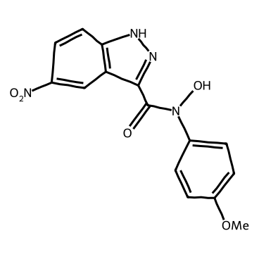 COc1ccc(N(O)C(=O)c2n[nH]c3ccc([N+](=O)[O-])cc23)cc1